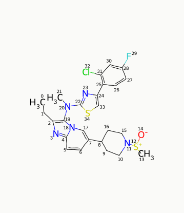 CCc1nc2ccc(C3CCN([S+](C)[O-])CC3)cn2c1N(C)c1nc(-c2ccc(F)cc2Cl)cs1